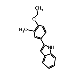 CCOc1ccc(-c2cc3ccccc3[nH]2)cc1C